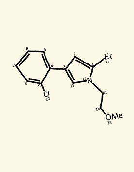 CCc1cc(-c2ccccc2Cl)cn1CCOC